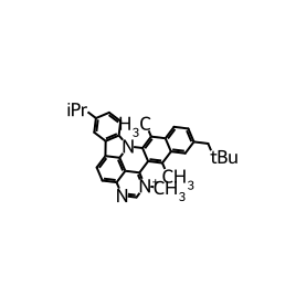 Cc1c2cc(CC(C)(C)C)ccc2c(C)c2c1c1c3c(ccc4c5cc(C(C)C)ccc5n2c43)nc[n+]1C